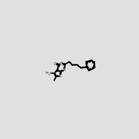 Cc1sc2nc(CCCCc3ccccc3)oc(=O)c2c1N